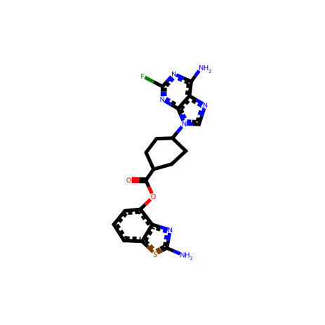 Nc1nc2c(OC(=O)C3CCC(n4cnc5c(N)nc(F)nc54)CC3)cccc2s1